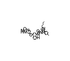 CCCCc1cc(NC(=O)Nc2ccc(Oc3ccnc(NC(=O)N(C)C)c3)c3ccccc23)n(-c2ccc(C)cc2)n1